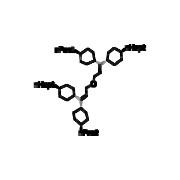 CCCCCCC[C@H]1CC[C@H](C(=CCOCC=C([C@H]2CC[C@H](CCCCC)CC2)[C@H]2CC[C@H](CCCCCCC)CC2)[C@H]2CC[C@H](CCCCC)CC2)CC1